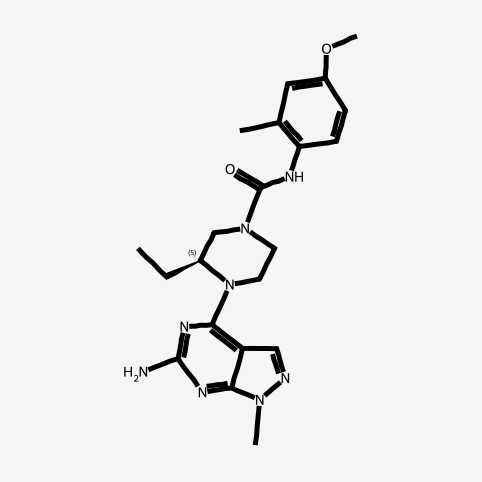 CC[C@H]1CN(C(=O)Nc2ccc(OC)cc2C)CCN1c1nc(N)nc2c1cnn2C